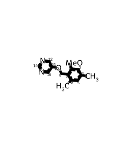 COc1cc(C)cc(C)c1COc1cncnc1